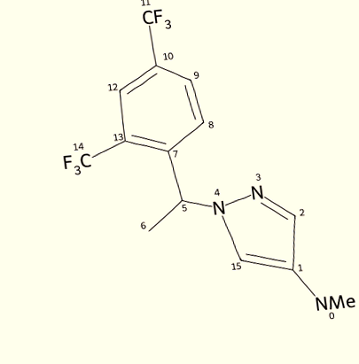 CNc1cnn(C(C)c2ccc(C(F)(F)F)cc2C(F)(F)F)c1